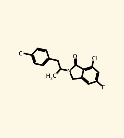 CC(Cc1ccc(Cl)cc1)N1Cc2cc(F)cc(Cl)c2C1=O